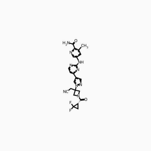 Cc1cc(Nc2nccc(-c3cnn(C4(CC#N)CN(C(=O)[C@@H]5CC5(F)F)C4)c3)n2)cnc1C(N)=O